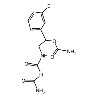 NC(=O)OC(=O)NCC(OC(N)=O)c1cccc(Cl)c1